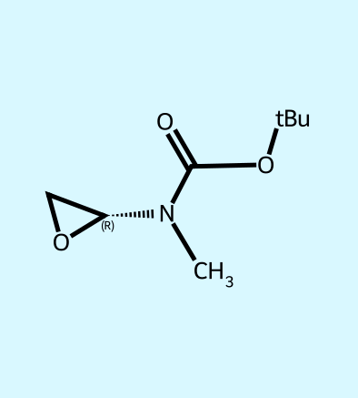 CN(C(=O)OC(C)(C)C)[C@H]1CO1